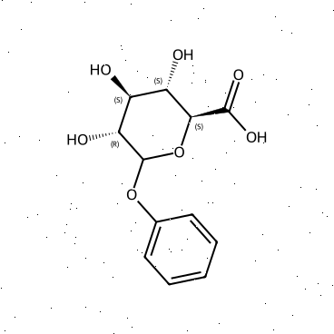 O=C(O)[C@H]1OC(Oc2ccccc2)[C@H](O)[C@@H](O)[C@@H]1O